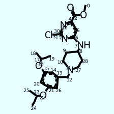 COC(=O)c1cc(NC2CCN(Cc3cc(OC(C)C)cc(OC(C)C)c3)CC2)nc(Cl)n1